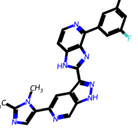 Cc1cc(F)cc(-c2nccc3[nH]c(-c4n[nH]c5cnc(-c6cnc(C)n6C)cc45)nc23)c1